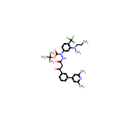 CCCN(C)c1cc(N(NC(=O)CC(=O)c2cccc(-c3cc(C)nc(C)c3)c2)C(=O)OC(C)(C)C)ccc1C(F)(F)F